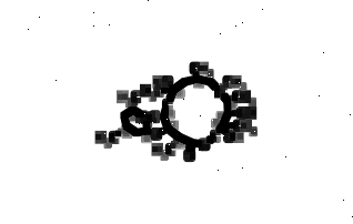 C[C@H]1C[C@H](O[C@H]2[C@H](C)C[C@](C)(O)C[C@@H](C)CN(C)[C@H](C)[C@@H](O)[C@](C)(O)COC(=O)[C@@H]2C)O[C@@H](C)C1